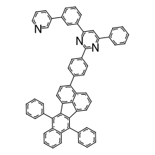 c1ccc(-c2cc(-c3cccc(-c4cccnc4)c3)nc(-c3ccc(-c4ccc5c6c(cccc46)-c4c-5c(-c5ccccc5)c5ccccc5c4-c4ccccc4)cc3)n2)cc1